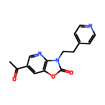 CC(=O)c1cnc2c(c1)oc(=O)n2CCc1ccncc1